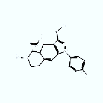 CCc1nn(-c2ccc(F)cc2)c2c1C[C@]1(C(=O)O)C[C@H](O)CCC1=C2